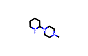 CN1CCN(C2CC[CH]CN2)CC1